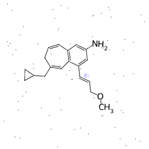 COC/C=C/c1cc(N)cc2c1C=C(CC1CC1)CC=C2